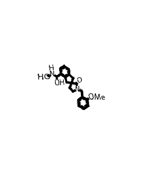 COc1ccccc1CN1CCC2(Cc3cccc(C(O)NO)c3C2)C1=O